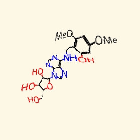 COc1cc(O)c(CNc2ncnc3c2ncn3C2O[C@H](CO)[C@@H](O)[C@H]2O)c(OC)c1